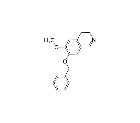 COc1cc2c(cc1OCc1ccccc1)C=NCC2